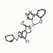 O=C1c2nn(Cc3ccccc3)c(Cl)c2CN1[C@H]1COc2ccccc2-n2nnnc21